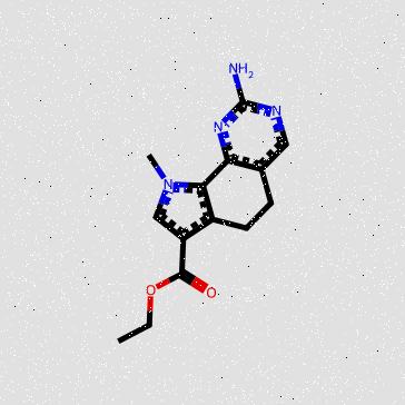 CCOC(=O)c1cn(C)c2c1CCc1cnc(N)nc1-2